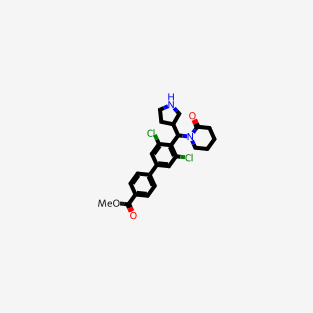 COC(=O)c1ccc(-c2cc(Cl)c(C(C3CCNC3)N3CCCCC3=O)c(Cl)c2)cc1